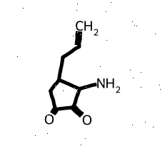 C=CCC1CC(=O)C(=O)C1N